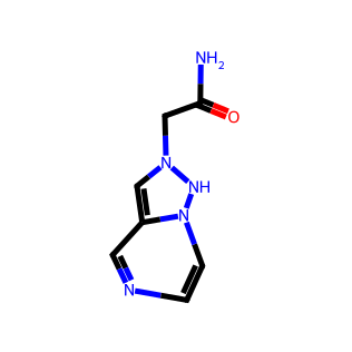 NC(=O)CN1C=C2C=NC=CN2N1